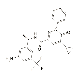 C[C@@H](NC(=O)c1cc(C2CC2)c(=O)n(-c2ccccc2)n1)c1cc(N)cc(C(F)(F)F)c1